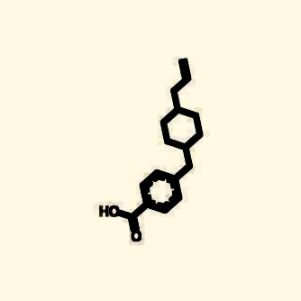 C=CCC1CCC(Cc2ccc(C(=O)O)cc2)CC1